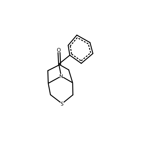 O=C1CC2CSCC(C1)N2Cc1ccccc1